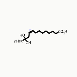 CCCCCCC(O)(O)C/C=C\CCCCCCCC(=O)O